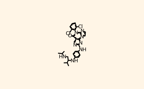 CC(C)NCC(Nc1ccc(Nc2ncc3c(=O)n(-c4c(Cl)cccc4Cl)c4nccn4c3n2)cc1)C(C)C